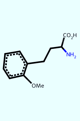 COc1ccccc1CCC(N)C(=O)O